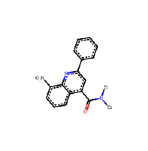 CCN(CC)C(=O)c1cc(-c2ccccc2)nc2c([N+](=O)[O-])cccc12